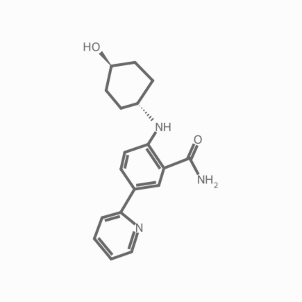 NC(=O)c1cc(-c2ccccn2)ccc1N[C@H]1CC[C@H](O)CC1